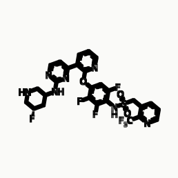 O=S(=O)(Cc1cccnc1C(F)(F)F)Nc1c(F)cc(Oc2ncccc2-c2ccnc(NC3CNC[C@@H](F)C3)n2)c(F)c1F